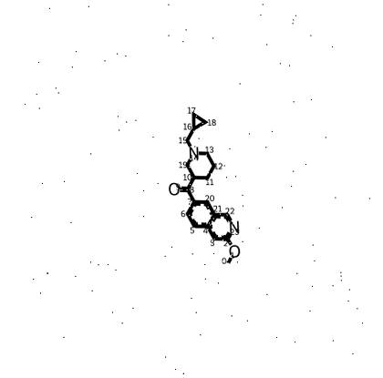 COc1cc2ccc(C(=O)C3CCCN(CC4CC4)C3)cc2cn1